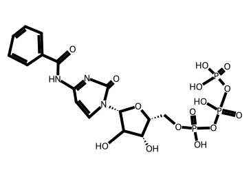 O=C(Nc1ccn([C@@H]2O[C@H](COP(=O)(O)OP(=O)(O)OP(=O)(O)O)[C@H](O)C2O)c(=O)n1)c1ccccc1